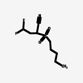 CCCCCS(=O)(=O)C(C#N)CC(F)F